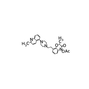 CC(=O)ON1C(=O)C(C)Oc2c(CCN3CCN(c4cccc5nc(C)ccc45)CC3)cccc21